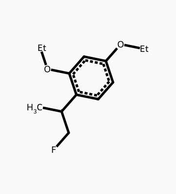 CCOc1ccc([C](C)CF)c(OCC)c1